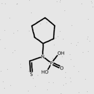 O=P(O)(O)N(C=S)C1CCCCC1